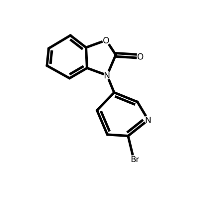 O=c1oc2ccccc2n1-c1ccc(Br)nc1